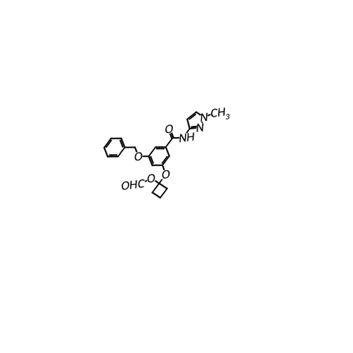 Cn1ccc(NC(=O)c2cc(OCc3ccccc3)cc(OC3(OC=O)CCC3)c2)n1